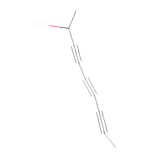 CC#CC#CC#CC(C)O